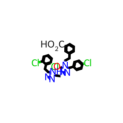 O=C(O)c1cccc(CCn2c(-c3ccc(Cl)cc3)nn(Cc3nnc(Cc4c(Cl)cccc4Cl)[nH]3)c2=O)c1